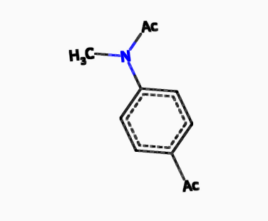 CC(=O)c1ccc(N(C)C(C)=O)cc1